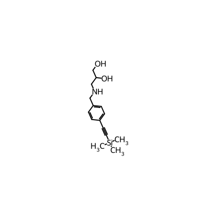 C[Si](C)(C)C#Cc1ccc(CNCC(O)CO)cc1